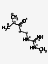 CNC(=N)NCCC(=O)C(C)C